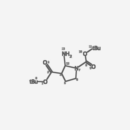 CC(C)(C)OC(=O)C1CCN(C(=O)OC(C)(C)C)C1N